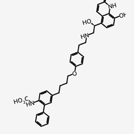 O=C(O)Nc1ccc(CCCCOc2ccc(CCNC[C@@H](O)c3ccc(O)c4[nH]c(=O)ccc34)cc2)cc1-c1ccccc1